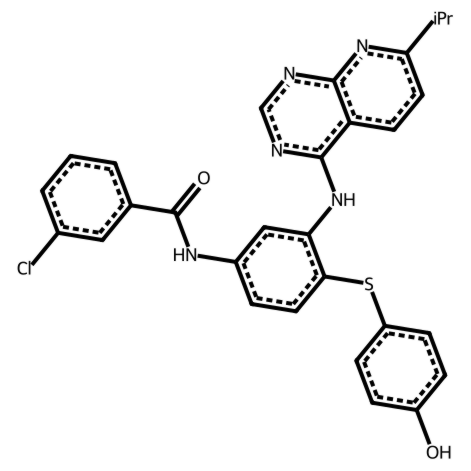 CC(C)c1ccc2c(Nc3cc(NC(=O)c4cccc(Cl)c4)ccc3Sc3ccc(O)cc3)ncnc2n1